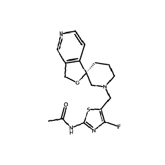 CC(=O)Nc1nc(F)c(CN2CCC[C@]3(C2)OCc2cnccc23)s1